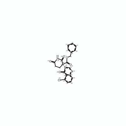 O=C1CC[C@@](C(=O)OCc2ccccc2)(n2cnc3cccc(Cl)c3c2=O)C(=O)N1